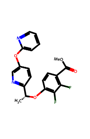 COC(=O)c1ccc(O[C@H](C)c2ccc(Oc3ccccn3)cn2)c(F)c1F